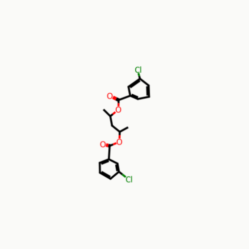 CC(CC(C)OC(=O)c1cccc(Cl)c1)OC(=O)c1cccc(Cl)c1